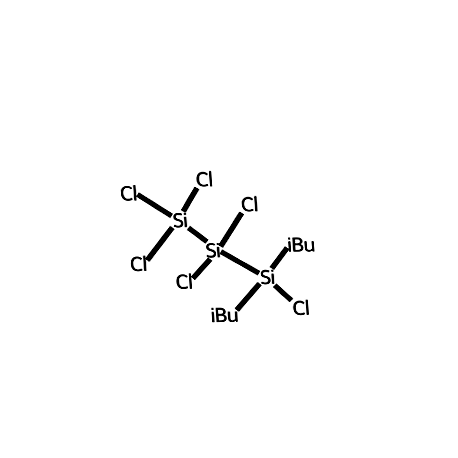 CCC(C)[Si](Cl)(C(C)CC)[Si](Cl)(Cl)[Si](Cl)(Cl)Cl